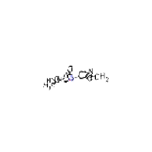 Cc1nc2ccc(C3=C\C(=O)N4C=C(N5CCN[C@H](C)C5)C=C\C4=C/C=C/3)cc2o1